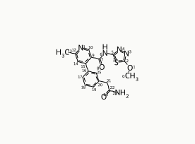 COc1nnc(NC(=O)c2cnc(C)cc2-c2cccc(CC(N)=O)c2)s1